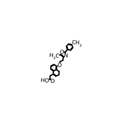 Cc1ccc(-c2nc(CCOc3cccc4c3CCC=C4CC(=O)O)c(C)o2)cc1